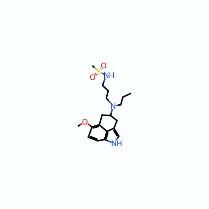 CCCN(CCCNS(C)(=O)=O)C1Cc2c[nH]c3ccc(OC)c(c23)C1